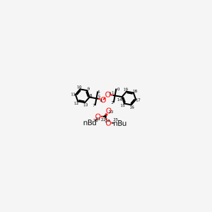 CC(C)(OOC(C)(C)c1ccccc1)c1ccccc1.CCCCOC(=O)OCCCC